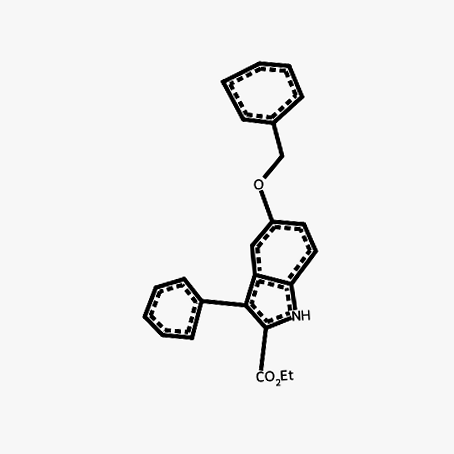 CCOC(=O)c1[nH]c2ccc(OCc3ccccc3)cc2c1-c1ccccc1